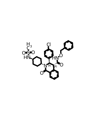 CS(=O)(=O)N[C@H]1CC[C@H](N2C(=O)c3ccccc3[C@@H](C(=O)NOCc3ccccc3)[C@@H]2c2ccc(Cl)cc2)CC1